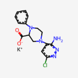 Nc1nnc(Cl)cc1N1CCN(c2ccccc2)C(C(=O)[O-])C1.[K+]